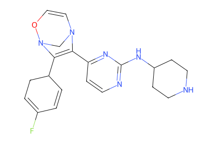 FC1=CCC(C2=C(c3ccnc(NC4CCNCC4)n3)N3C=CON2C3)C=C1